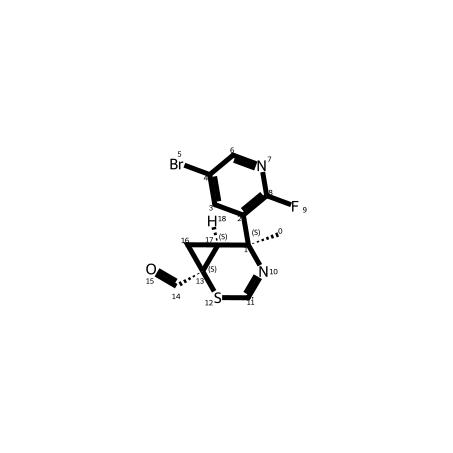 C[C@]1(c2cc(Br)cnc2F)N=[C]S[C@@]2(C=O)C[C@H]21